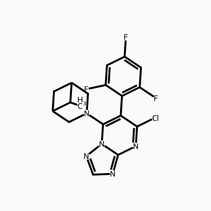 CC1C2CC1CN(c1c(-c3c(F)cc(F)cc3F)c(Cl)nc3ncnn13)C2